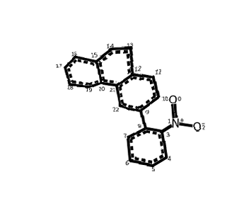 O=[N+]([O-])c1ccccc1-c1ccc2ccc3ccccc3c2c1